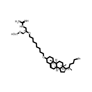 CCCCCCCCOC[C@@H](CNC(=N)N)OCCCCCCCCOC1CC[C@@]2(C)C(=CC[C@H]3[C@@H]4CC[C@H]([C@H](C)CCCC(C)C)[C@@]4(C)CC[C@@H]32)C1